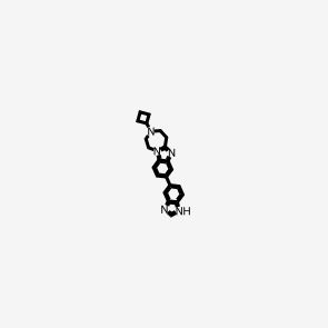 c1nc2cc(-c3ccc4c(c3)nc3n4CCN(C4CCC4)CC3)ccc2[nH]1